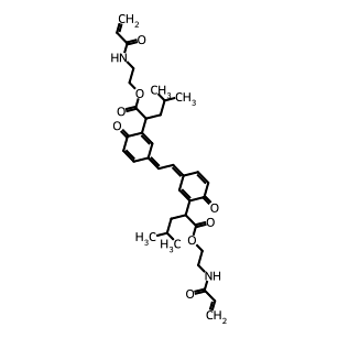 C=CC(=O)NCCOC(=O)C(CC(C)C)C1=C/C(=C\C=C2\C=CC(=O)C(C(CC(C)C)C(=O)OCCNC(=O)C=C)=C2)C=CC1=O